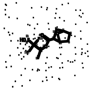 CC(OC(=O)C1CC2CCC1O2)C(F)(F)S(=O)(=O)O